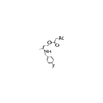 CC(=O)CC(=O)OC/C=C(/C)NCc1ccc(F)cc1